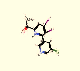 COC(=O)c1cc(I)c(I)c(-c2cncc(Cl)c2)n1